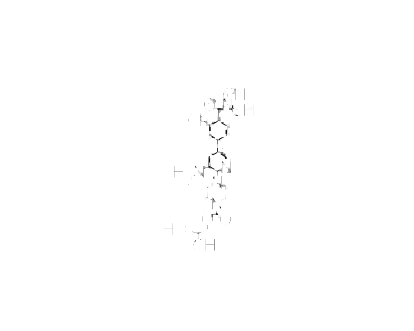 CC(C)COC(=O)N1CCN(c2ncc(-c3ccc(C(=O)N(C)C)c(Cl)c3)cc2N)CC1